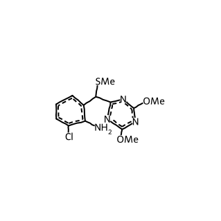 COc1nc(OC)nc(C(SC)c2cccc(Cl)c2N)n1